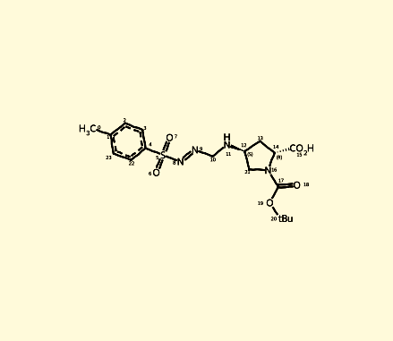 Cc1ccc(S(=O)(=O)N=NCN[C@H]2C[C@H](C(=O)O)N(C(=O)OC(C)(C)C)C2)cc1